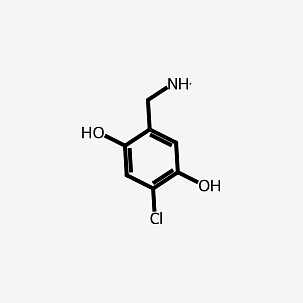 [NH]Cc1cc(O)c(Cl)cc1O